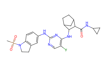 CS(=O)(=O)N1CCc2cc(Nc3ncc(F)c(NC4C5CCC(C5)C4C(=O)NC4CC4)n3)ccc21